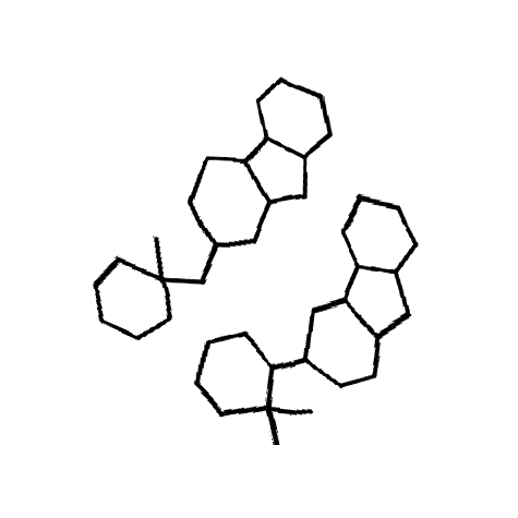 CC1(C)CCCCC1C1CCC2CC3CCCCC3C2C1.CC1(CC2CCC3C(C2)CC2CCCCC23)CCCCC1